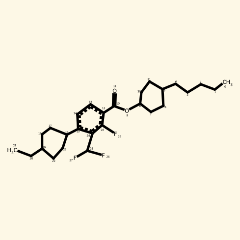 CCCCCC1CCC(OC(=O)c2ccc(C3CCC(CC)CC3)c(C(F)F)c2F)CC1